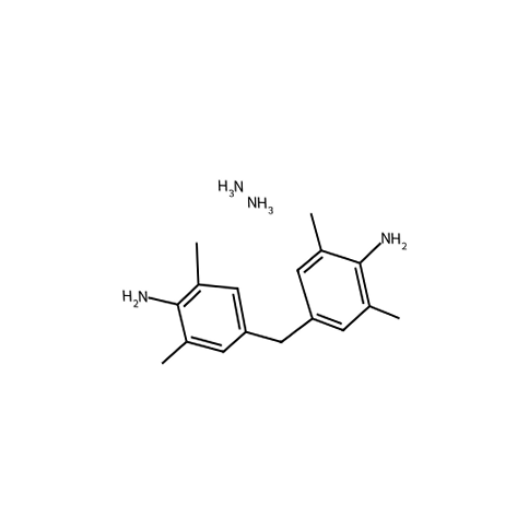 Cc1cc(Cc2cc(C)c(N)c(C)c2)cc(C)c1N.N.N